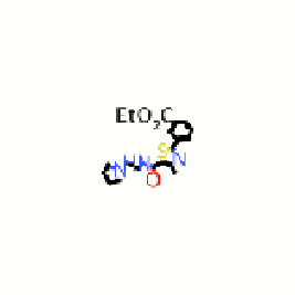 CCOC(=O)c1cccc(-c2nc(C)c(C(=O)NCCN3CCCC3)s2)c1